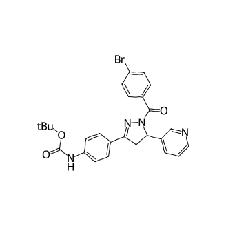 CC(C)(C)OC(=O)Nc1ccc(C2=NN(C(=O)c3ccc(Br)cc3)C(c3cccnc3)C2)cc1